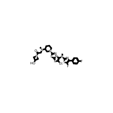 CCc1nc2sc(N3CCCC(N(C)CC(=O)N4CC(O)C4)C3)nn2c1N(C)c1nc(-c2ccc(F)cc2)c(F)s1